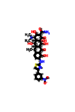 C[C@H]1c2ccc(Nc3nc(-c4cccc([N+](=O)[O-])c4)cs3)c(O)c2C(=O)C2=C(O)[C@]3(O)C(=O)C(C(N)=O)=C(O)[C@@H](N(C)C)[C@@H]3[C@@H](O)[C@@H]21